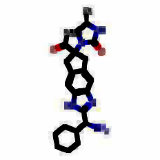 CC[C@@H]1CN(C2(C(=O)NC)Cc3cc4nc([C@@H](N)C5CCCCC5)[nH]c4cc3C2)C(=O)N1